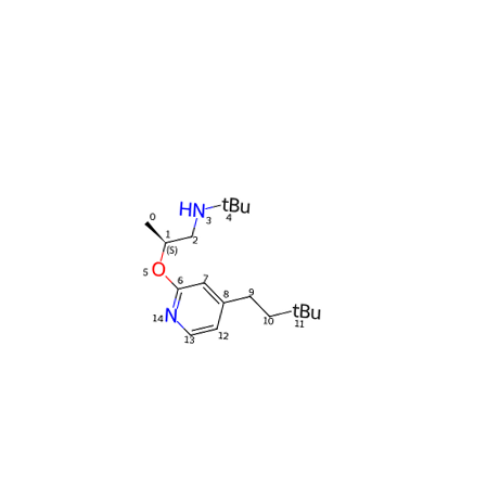 C[C@@H](CNC(C)(C)C)Oc1cc(CCC(C)(C)C)ccn1